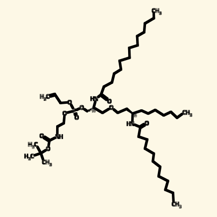 C=CCOP(=O)(OCCNC(=O)OC(C)(C)C)OC[C@@H](COCC[C@@H](CCCCCCC)NC(=O)CCCCCCCCCCC)NC(=O)CCCCCCCCCCCCC